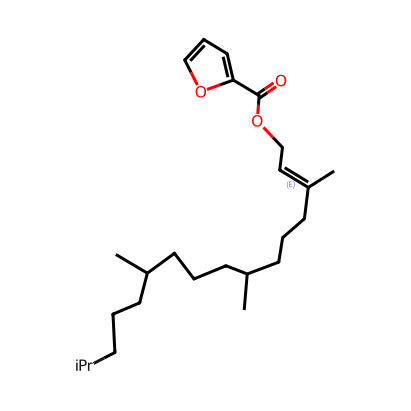 C/C(=C\COC(=O)c1ccco1)CCCC(C)CCCC(C)CCCC(C)C